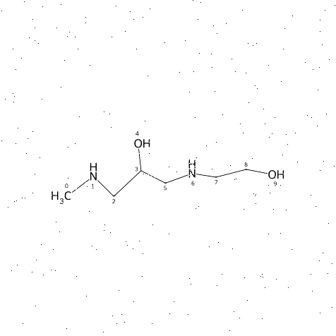 CNCC(O)CNCCO